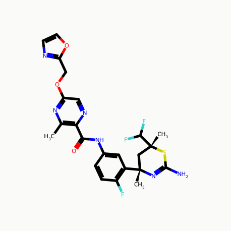 Cc1nc(OCc2ncco2)cnc1C(=O)Nc1ccc(F)c([C@]2(C)C[C@](C)(C(F)F)SC(N)=N2)c1